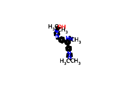 CC(C)N1CCN(c2ccc(-c3cc(-c4ccc(CN5CCN(CC(C)(C)O)CC5)cc4)c4ncn(C)c4c3)cc2)CC1